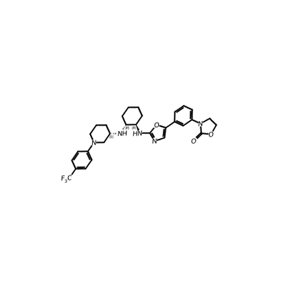 O=C1OCCN1c1cccc(-c2cnc(N[C@@H]3CCCC[C@H]3N[C@H]3CCCN(c4ccc(C(F)(F)F)cc4)C3)o2)c1